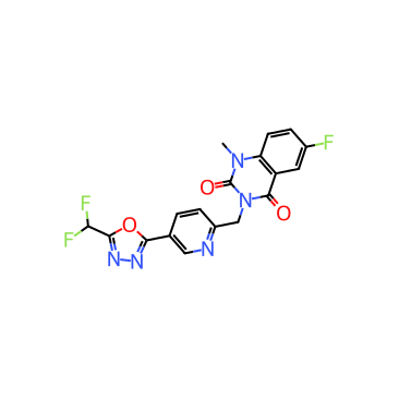 Cn1c(=O)n(Cc2ccc(-c3nnc(C(F)F)o3)cn2)c(=O)c2cc(F)ccc21